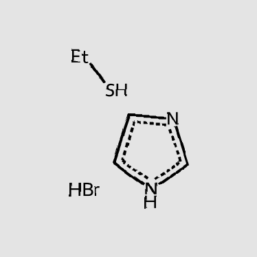 Br.CCS.c1c[nH]cn1